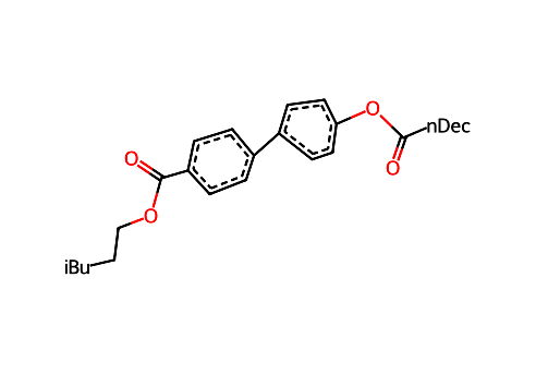 CCCCCCCCCCC(=O)Oc1ccc(-c2ccc(C(=O)OCCC(C)CC)cc2)cc1